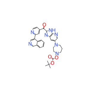 CC(C)(C)OC(=O)ON1CCCN(c2cnc3[nH]c(C(=O)c4ccnc(-c5cncc6ccccc56)c4)nc3c2)CC1